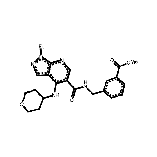 CCn1ncc2c(NC3CCOCC3)c(C(=O)NCc3cccc(C(=O)OC)c3)cnc21